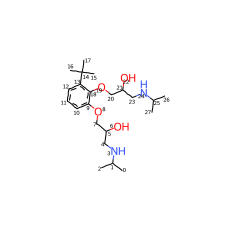 CC(C)NCC(O)COc1cccc(C(C)(C)C)c1OCC(O)CNC(C)C